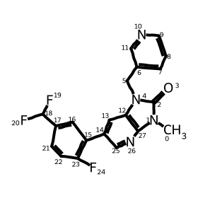 Cn1c(=O)n(Cc2cccnc2)c2cc(-c3cc(C(F)F)ccc3F)cnc21